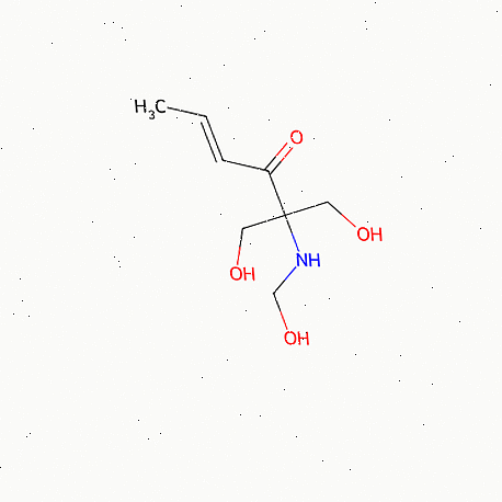 CC=CC(=O)C(CO)(CO)NCO